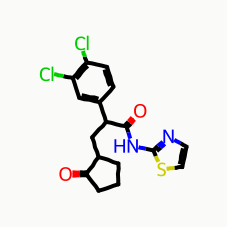 O=C1CCCC1CC(C(=O)Nc1nccs1)c1ccc(Cl)c(Cl)c1